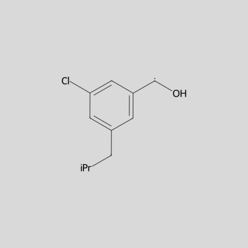 CC(C)Cc1cc(Cl)cc([CH]O)c1